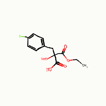 CCOC(=O)C(O)(Cc1ccc(F)cc1)C(=O)O